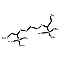 CCCCCCCCCCCC(SSSSSC(CCCCCCCCCCC)[Si](OC)(OC)OC)[Si](OC)(OC)OC